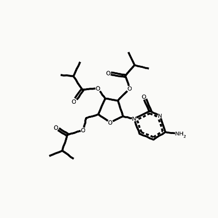 CC(C)C(=O)OCC1OC(n2ccc(N)nc2=O)C(OC(=O)C(C)C)C1OC(=O)C(C)C